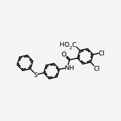 O=C(O)c1cc(Cl)c(Cl)cc1C(=O)Nc1ccc(Sc2ccccc2)cc1